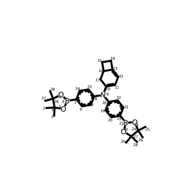 CC1(C)OB(c2ccc(N(C3=CC=C4CCC4C3)c3ccc(B4OC(C)(C)C(C)(C)O4)cc3)cc2)OC1(C)C